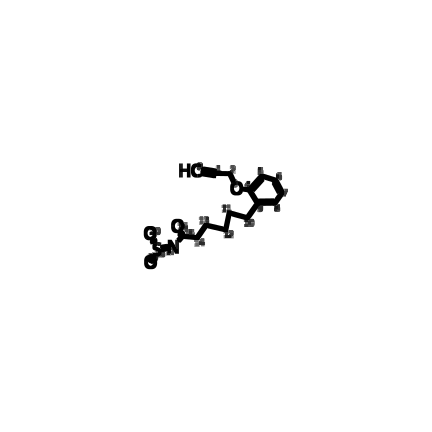 C#CCOc1ccccc1CCCCCC(=O)N=S(=O)=O